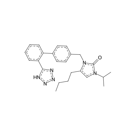 CCCCc1cn(C(C)C)c(=O)n1Cc1ccc(-c2ccccc2-c2nnn[nH]2)cc1